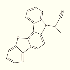 CC(C#N)n1c2ccccc2c2c3oc4ccccc4c3ccc21